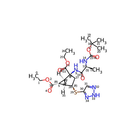 CCOC(=O)[C@H]1[C@H]2[C@@H]1[C@](NC(=O)[C@H](C)NC(=O)OC(C)(C)C)(C(=O)OCC)C[C@H]2Sc1cn[nH]n1